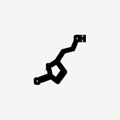 O=C1C=CC(CCO)S1